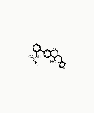 [O-][S+](Nc1ccccc1-c1ccc2c(c1)OCC(Cc1cncs1)C2O)C(F)(F)F